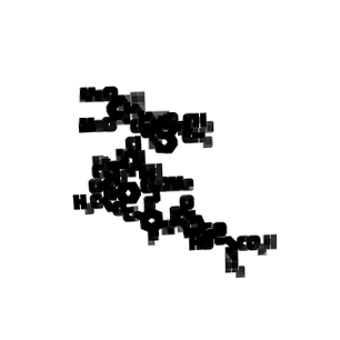 CC1COc2ccccc2N1C(=O)C(Cl)Cl.CCNc1nc(Cl)nc(NC(C)C)n1.COC(=O)CSc1cc(/N=c2\sc(=O)n3n2CCCC3)c(F)cc1Cl.COc1cc(OC)nc(NC(=O)NS(=O)(=O)c2ncccc2C(=O)N(C)C)n1.CP(=O)(O)CCC(N)C(=O)O